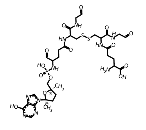 C[C@]1(COP(=O)(O)NC(C=O)CCC(=O)NC(CSSCC(NC(=O)CCC(N)C(=O)O)C(=O)NCC=O)C(=O)NCC=O)CC[C@@](C)(n2cnc3c(O)ncnc32)O1